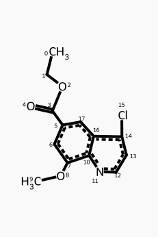 CCOC(=O)c1cc(OC)c2nccc(Cl)c2c1